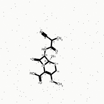 COC1=C(C(=O)O)N2C(=O)[C@@H](NC(=O)C(C)C#N)[C@H]2SC1